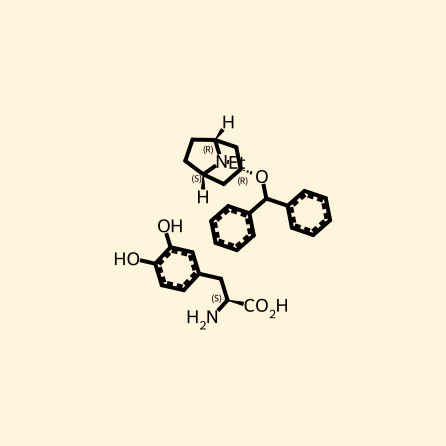 CCN1[C@@H]2CC[C@H]1C[C@@H](OC(c1ccccc1)c1ccccc1)C2.N[C@@H](Cc1ccc(O)c(O)c1)C(=O)O